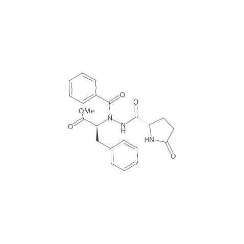 COC(=O)[C@H](Cc1ccccc1)N(NC(=O)[C@@H]1CCC(=O)N1)C(=O)c1ccccc1